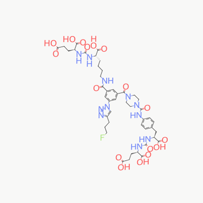 O=C(O)CC[C@H](NC(=O)N[C@@H](CCCCNC(=O)c1cc(C(=O)N2CCN(C(=O)Nc3ccc(C[C@H](NC(=O)N[C@H](CCC(=O)O)C(=O)O)C(=O)O)cc3)CC2)cc(-n2cc(CCCF)nn2)c1)C(=O)O)C(=O)O